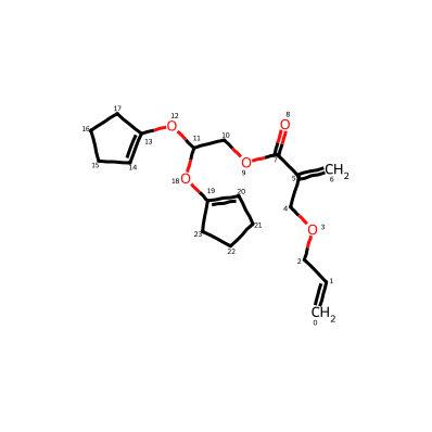 C=CCOCC(=C)C(=O)OCC(OC1=CCCC1)OC1=CCCC1